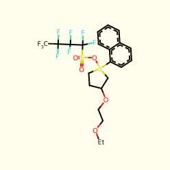 CCOCCOC1CCS(OS(=O)(=O)C(F)(F)C(F)(F)C(F)(F)C(F)(F)F)(c2cccc3ccccc23)C1